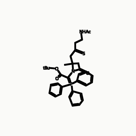 CC(=O)NCCC(=S)CC1(C)CC(=O)N1C(C(=O)OC(C)(C)C)=P(c1ccccc1)(c1ccccc1)c1ccccc1